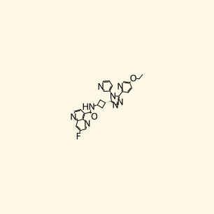 CCOc1ccc(-c2nnc([C@H]3C[C@H](NC(=O)c4ccnc5cc(F)cnc45)C3)n2-c2cccnc2)nc1